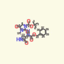 CC(C)(C)OC(=O)N1CC(=O)N(C[C@H]2NC(=O)[C@H]2NC(=O)OCc2ccccc2)C1=O